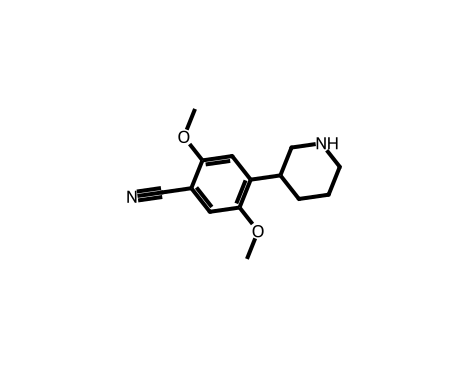 COc1cc(C2CCCNC2)c(OC)cc1C#N